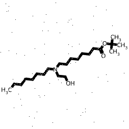 CCCCCCCCN(CCO)CCCCCCCC(=O)OC(C)(C)C